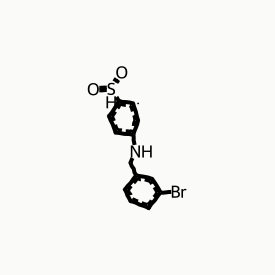 O=[SH](=O)c1[c]cc(NCc2cccc(Br)c2)cc1